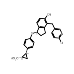 N#Cc1ccc2c(c1Cc1ccc(Cl)nc1)CC[C@H]2Oc1ccc([C@H]2C[C@@H]2C(=O)O)cc1